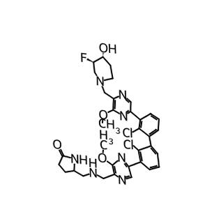 COc1nc(-c2cccc(-c3cccc(-c4cnc(CN5CC[C@@H](O)[C@H](F)C5)c(OC)n4)c3Cl)c2Cl)cnc1CNCC1CCC(=O)N1